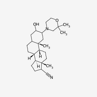 CC1(C)CN(C2C[C@@]3(C)C(CC[C@@H]4[C@H]3CC[C@]3(C)C(C#N)CC[C@@H]43)CC2O)CCO1